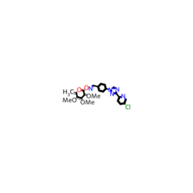 CO[C@@H]1[C@@H](OC)[C@H](C)O[C@@H](O/N=C/c2ccc(-n3cnc(-c4ccc(Cl)cn4)n3)cc2)[C@@H]1OC